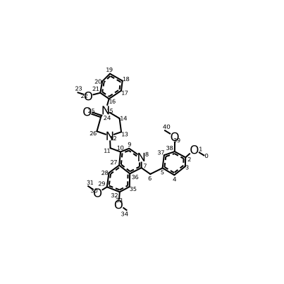 COc1ccc(Cc2ncc(CN3CCN(c4ccccc4OC)C(=O)C3)c3cc(OC)c(OC)cc23)cc1OC